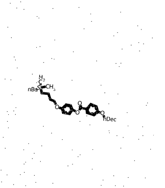 CCCCCCCCCCOc1ccc(C(=O)Oc2ccc(OCCCC[Si](C)(C)CCCC)cc2)cc1